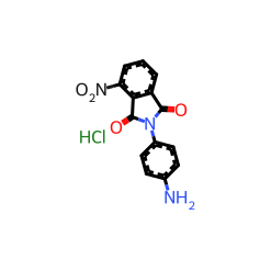 Cl.Nc1ccc(N2C(=O)c3cccc([N+](=O)[O-])c3C2=O)cc1